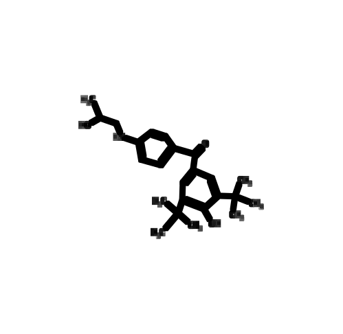 CC(O)CNc1ccc(C(=O)c2cc(C(C)(C)C)c(O)c(C(C)(C)C)c2)cc1